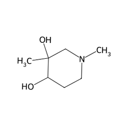 CN1CCC(O)C(C)(O)C1